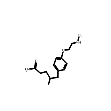 CCNCCOc1ccc(CC(C)CCC(N)=O)cc1